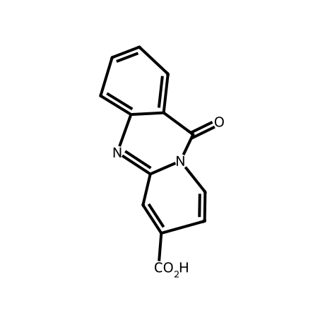 O=C(O)c1ccn2c(=O)c3ccccc3nc2c1